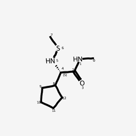 CNC(=O)[C@@H](NSC)C1CCCC1